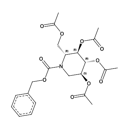 CC(=O)OC[C@@H]1[C@@H](OC(C)=O)[C@H](OC(C)=O)[C@@H](OC(C)=O)CN1C(=O)OCc1ccccc1